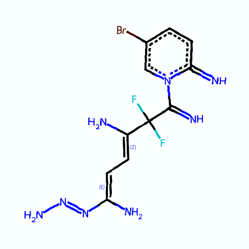 N=C(n1cc(Br)ccc1=N)C(F)(F)/C(N)=C/C=C(\N)N=NN